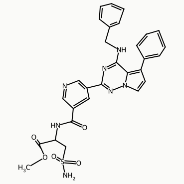 COC(=O)C(CS(N)(=O)=O)NC(=O)c1cncc(-c2nc(NCc3ccccc3)c3c(-c4ccccc4)ccn3n2)c1